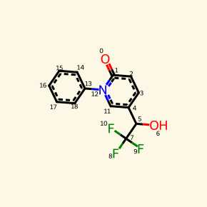 O=c1ccc(C(O)C(F)(F)F)cn1-c1ccccc1